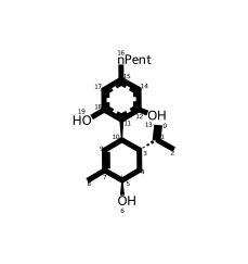 C=C(C)[C@@H]1C[C@@H](O)C(C)=C[C@H]1c1c(O)cc(CCCCC)cc1O